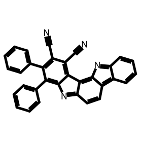 N#Cc1c(C#N)c(-c2ccccc2)c(-c2ccccc2)c2c1-c1c3c(ccc1=N2)=c1ccccc1=N3